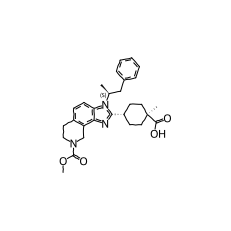 COC(=O)N1CCc2ccc3c(nc([C@H]4CC[C@](C)(C(=O)O)CC4)n3[C@@H](C)Cc3ccccc3)c2C1